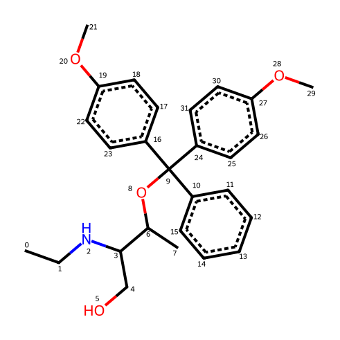 CCNC(CO)C(C)OC(c1ccccc1)(c1ccc(OC)cc1)c1ccc(OC)cc1